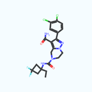 CCC1(NC(=O)N2CCn3nc(-c4ccc(Cl)c(Cl)c4)c(C(N)=O)c3C2)CC(F)(F)C1